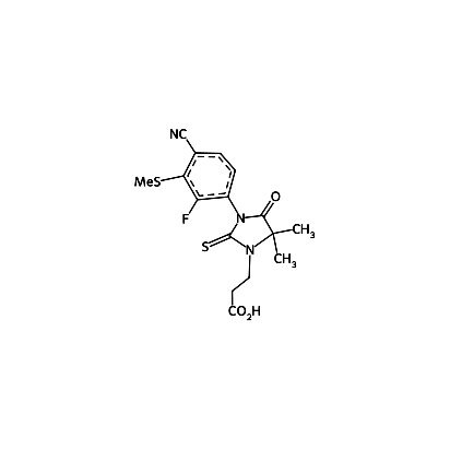 CSc1c(C#N)ccc(N2C(=O)C(C)(C)N(CCC(=O)O)C2=S)c1F